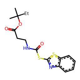 CCC(C)(C)OC(=O)CCNC(=O)Sc1nc2ccccc2s1